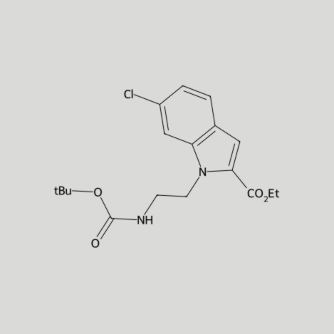 CCOC(=O)c1cc2ccc(Cl)cc2n1CCNC(=O)OC(C)(C)C